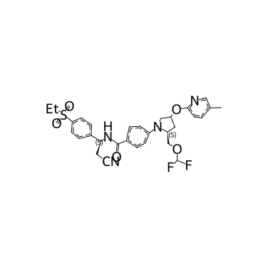 CCS(=O)(=O)c1ccc([C@H](CC#N)NC(=O)c2ccc(N3CC(Oc4ccc(C)cn4)C[C@H]3COC(F)F)cc2)cc1